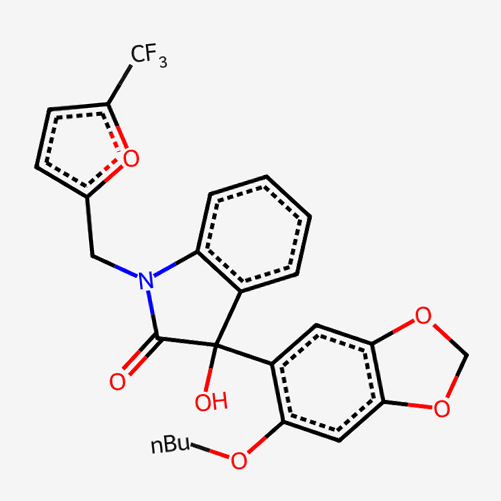 CCCCOc1cc2c(cc1C1(O)C(=O)N(Cc3ccc(C(F)(F)F)o3)c3ccccc31)OCO2